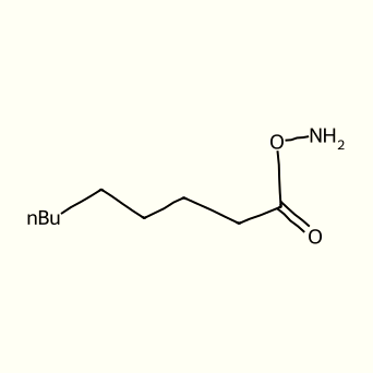 CCCCCCCCC(=O)ON